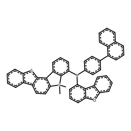 C[Si]1(C)c2ccc3c(sc4ccccc43)c2-c2cccc(N(c3ccc(-c4cccc5ccccc45)cc3)c3cccc4oc5ccccc5c34)c21